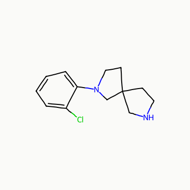 Clc1ccccc1N1CCC2(CCNC2)C1